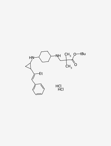 CC/C(=C\c1ccccc1)C1CC1NC1CCC(NCC(C)(C)C(=O)OC(C)(C)C)CC1.Cl.Cl